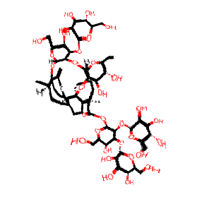 C=C1CC23CCC4[C@](C)(C(=O)O[C@@H]5OC(CO)[C@H](O)C(O[C@@H]6OC(CO)[C@@H](O)C(O)C6O)C5O[C@@H]5OC(CO)[C@@H](O)C(O)C5O)CCC[C@]45OC4C(O)[C@@H](O)C(C)O[C@H]4OC4C(O[C@@H]6OC(CO)[C@@H](O)C(O)C6O)[C@H](O)C(CO)O[C@H]4OC1(CC[C@H]25)[C@H](C)C3